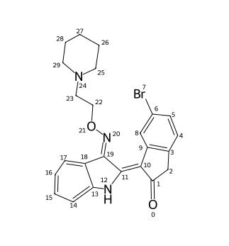 O=C1Cc2ccc(Br)cc2/C1=C1/Nc2ccccc2/C1=N\OCCN1CCCCC1